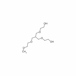 COCCOCC(COCCO)COCCO